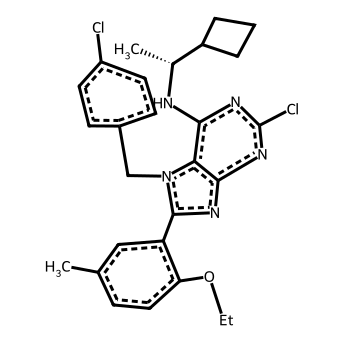 CCOc1ccc(C)cc1-c1nc2nc(Cl)nc(N[C@H](C)C3CCC3)c2n1Cc1ccc(Cl)cc1